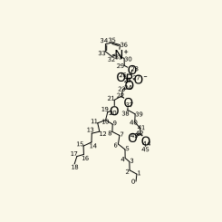 CCCCCCCCCCC(CCCCCCCC)COCC(COP(=O)([O-])OCC[n+]1ccccc1)OCCCCC(=O)OC